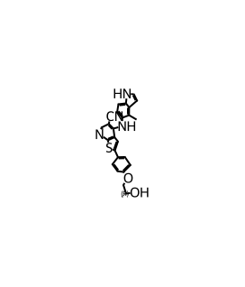 Cc1c(Nc2c(C#N)cnc3sc(-c4ccc(OC[C@@H](C)O)cc4)cc23)ccc2[nH]ccc12